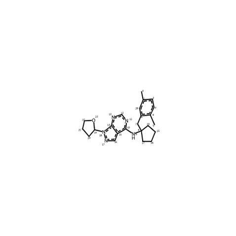 Cc1ccc(C)c(CC2(Nc3ncnc4c3cnn4C3CCCO3)CCCC2)c1